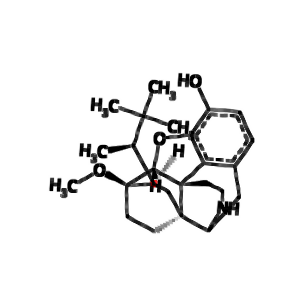 CO[C@]12CC[C@@]3(C[C@@H]1[C@@H](C)C(C)(C)C)C1Cc4ccc(O)c5c4[C@@]3(CCN1)[C@H]2O5